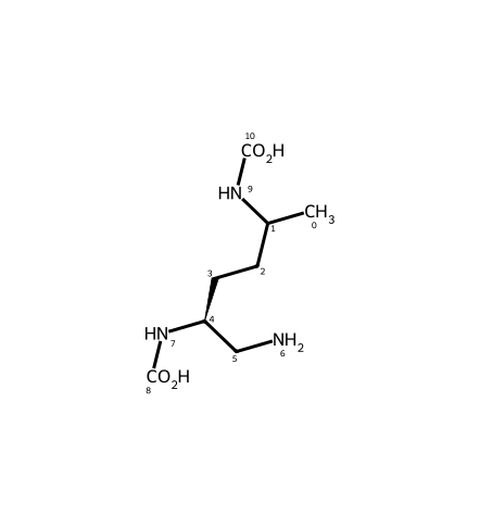 CC(CC[C@@H](CN)NC(=O)O)NC(=O)O